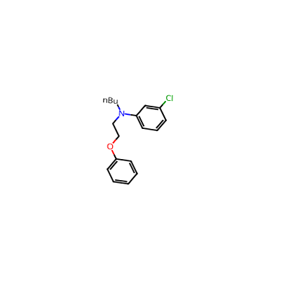 CCCCN(CCOc1ccccc1)c1cccc(Cl)c1